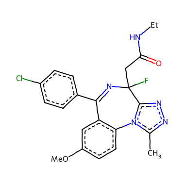 CCNC(=O)CC1(F)N=C(c2ccc(Cl)cc2)c2cc(OC)ccc2-n2c(C)nnc21